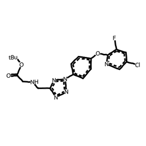 CC(C)(C)OC(=O)CNCc1nnn(-c2ccc(Oc3ncc(Cl)cc3F)cc2)n1